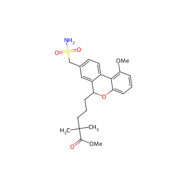 COC(=O)C(C)(C)CCCC1Oc2cccc(OC)c2-c2ccc(CS(N)(=O)=O)cc21